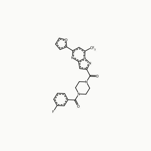 O=C(c1cccc(F)c1)N1CCN(C(=O)c2cc3nc(-c4ccco4)cc(C(F)(F)F)n3n2)CC1